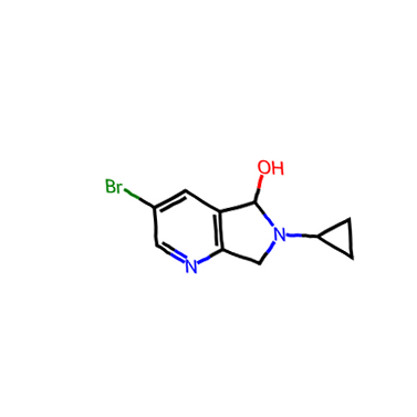 OC1c2cc(Br)cnc2CN1C1CC1